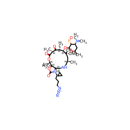 CC[C@H]1OC(=O)[C@H](C)C(=O)[C@H](C)[C@@H](O[C@@H]2OC(C)CC(N(C)C)C2P=O)[C@](C)(OC)C[C@@H](C)CN[C@H](C2CC2)[C@H]2N(CCCCN=[N+]=[N-])C(=O)O[C@]12C